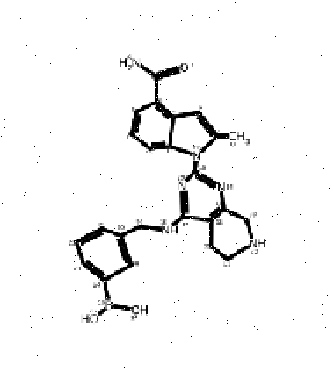 Cc1cc2c(C(N)=O)cccc2n1-c1nc2c(c(NCc3cccc(B(O)O)c3)n1)CCNC2